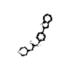 O=C(CC1CCOCC1)Nc1ccc(-c2cc3ccccc3o2)cc1